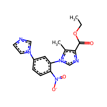 CCOC(=O)c1ncn(-c2cc(-n3ccnc3)ccc2[N+](=O)[O-])c1C